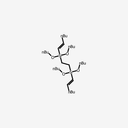 CCCCC=C[Si](CC[Si](C=CCCCC)(OCCCC)OCCCC)(OCCCC)OCCCC